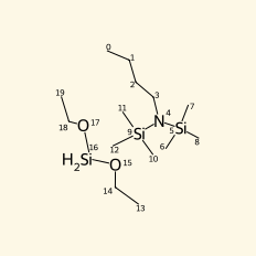 CCCCN([Si](C)(C)C)[Si](C)(C)C.CCO[SiH2]OCC